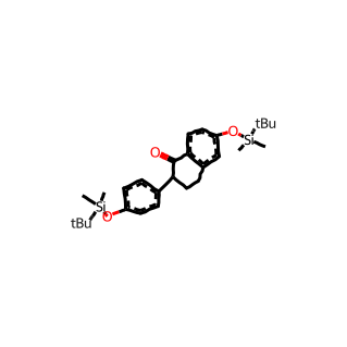 CC(C)(C)[Si](C)(C)Oc1ccc(C2CCc3cc(O[Si](C)(C)C(C)(C)C)ccc3C2=O)cc1